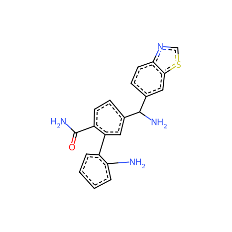 NC(=O)c1ccc(C(N)c2ccc3ncsc3c2)cc1-c1ccccc1N